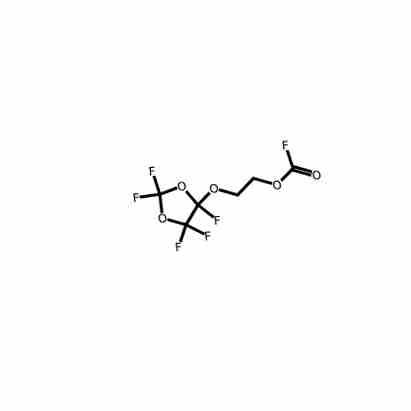 O=C(F)OCCOC1(F)OC(F)(F)OC1(F)F